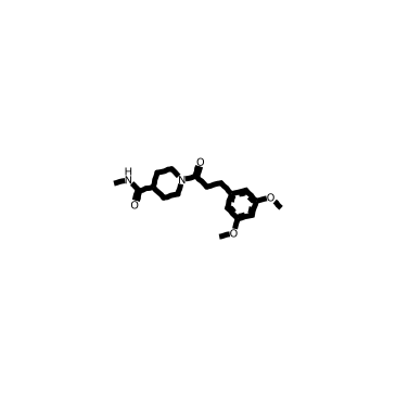 CNC(=O)C1CCN(C(=O)CCc2cc(OC)cc(OC)c2)CC1